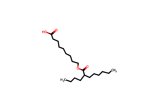 CCCCCCC(CCCC)C(=O)OCCCCCCCCC(=O)O